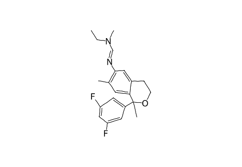 CCN(C)/C=N/c1cc2c(cc1C)C(C)(c1cc(F)cc(F)c1)OCC2